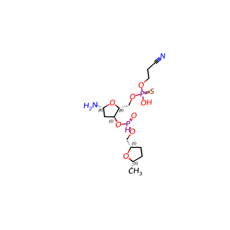 C[C@H]1CC[C@@H](CO[PH](=O)O[C@H]2C[C@H](N)O[C@@H]2COP(O)(=S)OCCC#N)O1